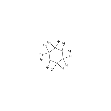 [2H]C1([2H])C([2H])([2H])C([2H])([2H])C([2H])(Cl)C([2H])([2H])C1([2H])[2H]